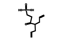 C=CCC(CC=C)C(=O)CCP(=O)(O)O